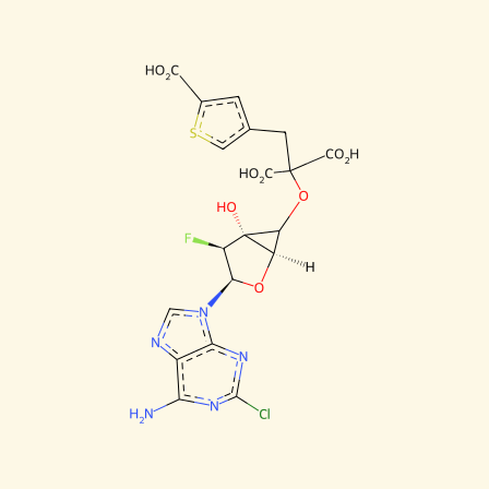 Nc1nc(Cl)nc2c1ncn2[C@@H]1O[C@@H]2C(OC(Cc3csc(C(=O)O)c3)(C(=O)O)C(=O)O)[C@]2(O)[C@@H]1F